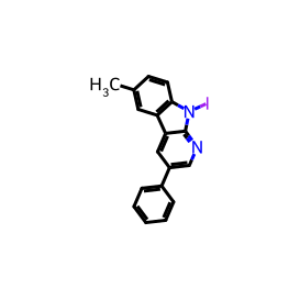 Cc1ccc2c(c1)c1cc(-c3ccccc3)cnc1n2I